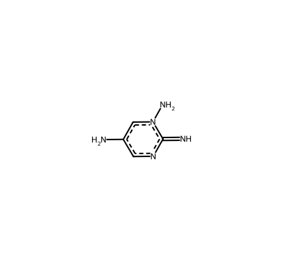 N=c1ncc(N)cn1N